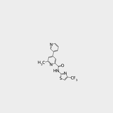 Cc1cc(-c2cccnc2)cc(C(=O)Nc2nc(C(F)(F)F)cs2)n1